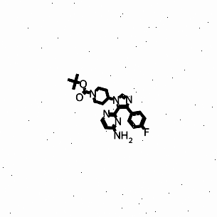 CC(C)(C)OC(=O)N1CCC(n2cnc(-c3ccc(F)cc3)c2-c2nccc(N)n2)CC1